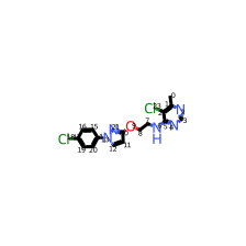 Cc1ncnc(NCCOc2ccn(-c3ccc(Cl)cc3)n2)c1Cl